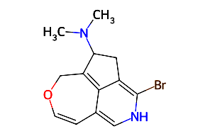 CN(C)C1CC2=C(Br)NC=C3C=COCC1=C32